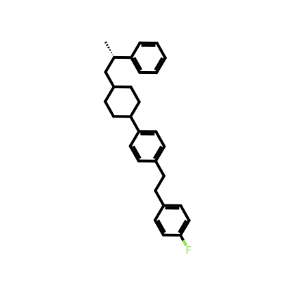 C[C@@H](CC1CCC(c2ccc(CCc3ccc(F)cc3)cc2)CC1)c1ccccc1